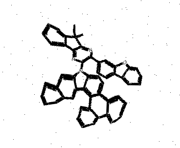 CC1(C)c2ccccc2-c2nc(-n3c4cc5ccccc5cc4c4c5c6ccccc6c6ccccc6c5ccc43)c(-c3ccc4c(c3)oc3ccccc34)nc21